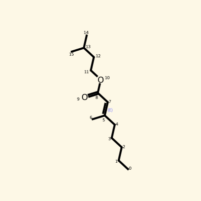 CCCCC/C(C)=C/C(=O)OCCC(C)C